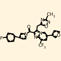 Cc1noc(Cc2c(C(=O)n3ccc(-c4ccc(F)cc4)c3)nc3c(C(F)(F)F)cc(-c4ccoc4)cn23)n1